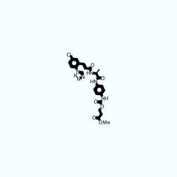 COC(=O)CCOC(=O)Nc1ccc(NC(=O)[C@H](C)NC(=O)C=Cc2cc(Cl)ccc2-n2cnnn2)cc1